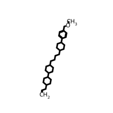 C=CCC1CCC(C2CCC(CCCCC3CCC(c4ccc(COC)cc4)CC3)CC2)CC1